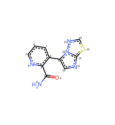 NC(=O)c1ncccc1-c1cnc2scnn12